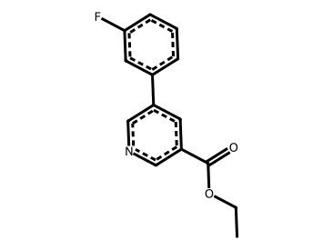 CCOC(=O)c1cncc(-c2cccc(F)c2)c1